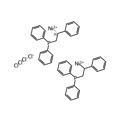 [Cl-].[Cl-].[Cl-].[Cl-].[Ni+2][C@@H](CP(c1ccccc1)c1ccccc1)c1ccccc1.[Ni+2][CH](CP(c1ccccc1)c1ccccc1)c1ccccc1